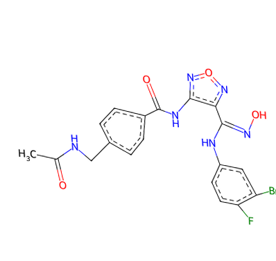 CC(=O)NCc1ccc(C(=O)Nc2nonc2/C(=N\O)Nc2ccc(F)c(Br)c2)cc1